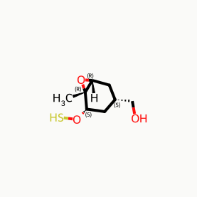 C[C@@]12O[C@@H]1C[C@H](CO)C[C@@H]2OS